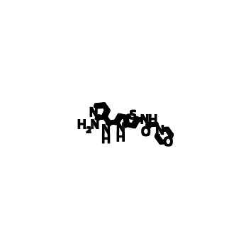 N=C(c1cc2sc(NC(=O)CN3CCOCC3)cc2[nH]1)c1cccnc1N